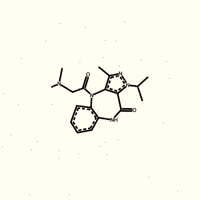 Cc1nn(C(C)C)c2c1N(C(=O)CN(C)C)c1ccccc1NC2=O